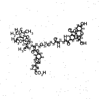 C=C1C(C)=C(C)C(=O)C(C(C)(C)CC(=O)N(C)CCN(CCOCCOCCC(=O)NCCNC(=O)c2ccc3c(c2)C(=O)OC32c3ccc(O)cc3Oc3cc(O)ccc32)C(=O)Oc2ccc3nc(C4=NC(C(=O)O)CS4)sc3c2)=C1C